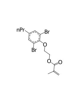 C=C(C)C(=O)OCCOc1c(Br)cc(CCC)cc1Br